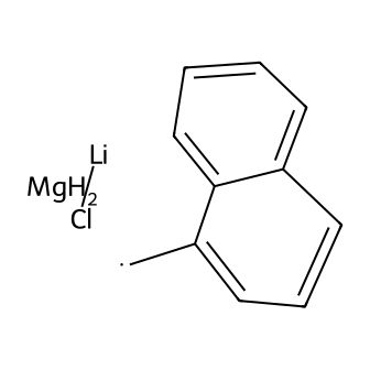 [CH2]c1cccc2ccccc12.[Li][Cl].[MgH2]